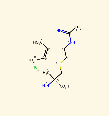 CC(=N)NCCSC[C@](C)(N)C(=O)O.Cl.O=C(O)/C=C\C(=O)O